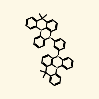 CC1(C)c2ccccc2N2c3ccccc3N(c3cccc(N4c5ccccc5N5c6ccccc6C(C)(C)c6cccc4c65)c3)c3cccc1c32